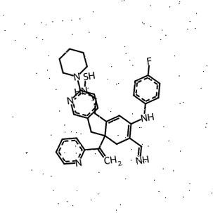 C=C(c1ccccn1)C1(Cc2ccc(N3CCCCC3)nc2)CC(C=N)=C(Nc2ccc(F)cc2)C=C1CCNS